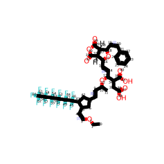 CCO/C=C\C1CC(/C=C/C(C)OC(/C=C/C2OC(/C=C\c3ccccc3)[C@@H]3C(=O)OC(=O)[C@H]23)C(CC(=O)O)C(=O)O)CC1C(F)(F)C(F)(F)C(F)(F)C(F)(F)C(F)(F)C(F)(F)F